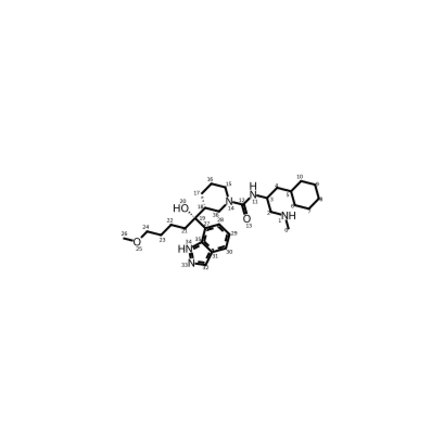 CNCC(CC1CCCCC1)NC(=O)N1CCC[C@@H]([C@](O)(CCCCOC)c2cccc3cn[nH]c23)C1